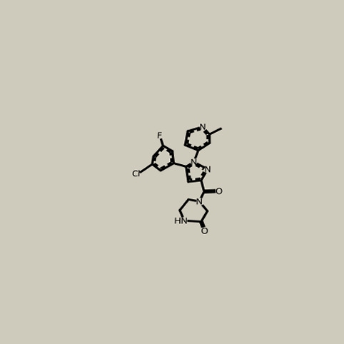 Cc1cc(-n2nc(C(=O)N3CCNC(=O)C3)cc2-c2cc(F)cc(Cl)c2)ccn1